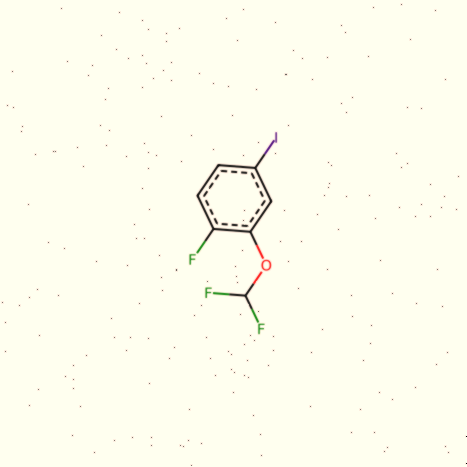 Fc1ccc(I)cc1OC(F)F